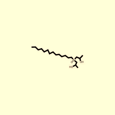 CCCCCCCCCCCCCC[N+]([O-])(CC(C)O)CC(C)O